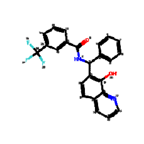 O=C(NC(c1ccccc1)c1ccc2cccnc2c1O)c1cccc(C(F)(F)F)c1